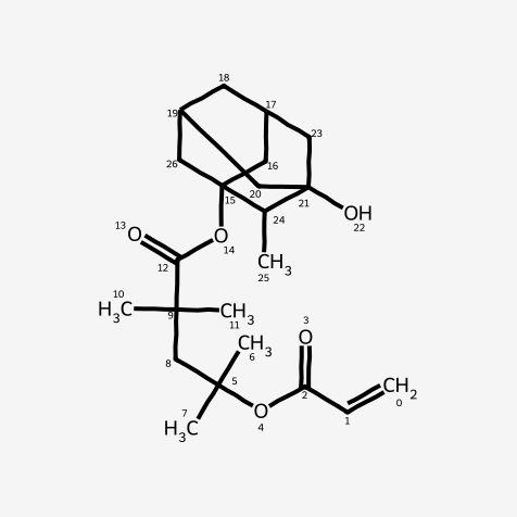 C=CC(=O)OC(C)(C)CC(C)(C)C(=O)OC12CC3CC(CC(O)(C3)C1C)C2